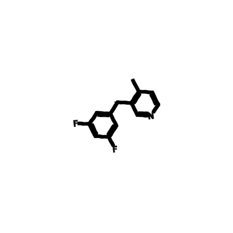 Cc1ccncc1[CH]c1cc(F)cc(F)c1